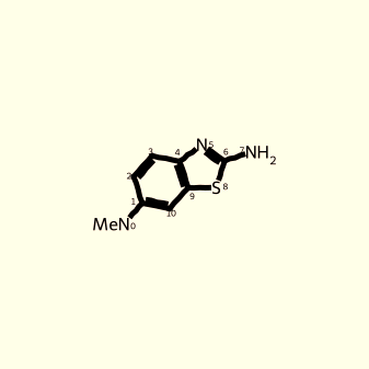 CNc1ccc2nc(N)sc2c1